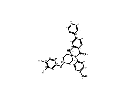 COc1ccc(N2C(=O)c3ccc(-c4ccncc4)cc3NC23CCN(Cc2ccc(F)c(F)c2)CC3)cc1